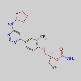 CC(C)C[C@@](C)(COc1ccc(-c2cc(NC3CCOC3)ncn2)cc1C(F)(F)F)OC(N)=O